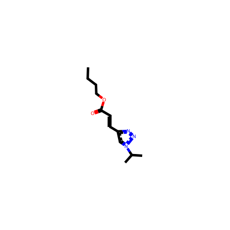 CCCCOC(=O)C=Cc1cn(C(C)C)nn1